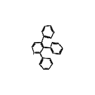 c1ccc(-c2ccpc(-c3ccccc3)c2-c2ccccc2)cc1